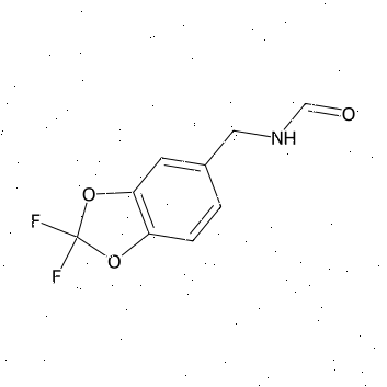 O=CNCc1ccc2c(c1)OC(F)(F)O2